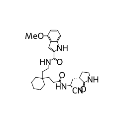 COc1cccc2[nH]c(C(=O)NCCC3(CCC(=O)N[C@H](C#N)C[C@@H]4CCNC4=O)CCCCC3)cc12